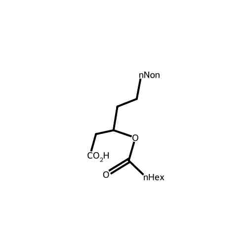 CCCCCCCCCCCC(CC(=O)O)OC(=O)CCCCCC